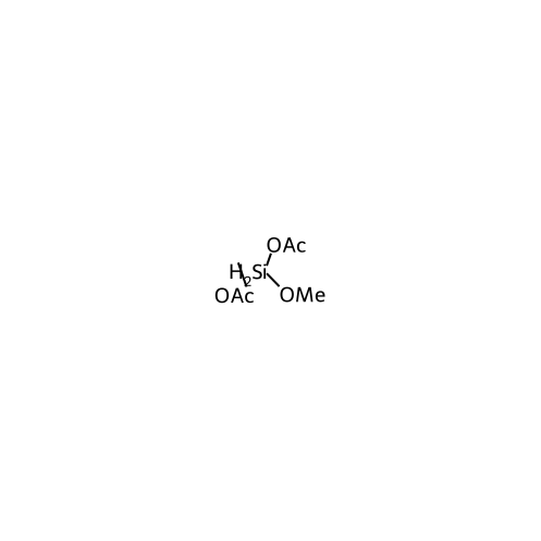 COC(C)=O.CO[SiH2]OC(C)=O